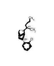 CCC[C@@H](C)[C@H]1CC2CC1[C@H](c1ccccc1Cl)C2